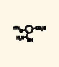 CCCOc1ccc(C(=O)O)cc1C(=N)N